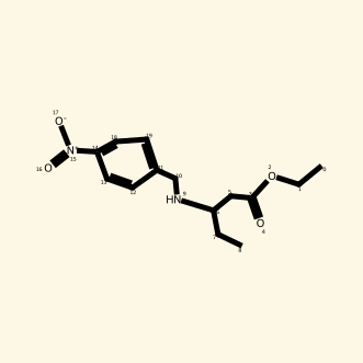 CCOC(=O)CC(CC)NCc1ccc([N+](=O)[O-])cc1